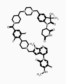 CNc1cc(=O)n(-c2ccnc3c2cc(CN2CCC(c4c(F)cc(C(=O)N5CCC(CN6CCN(Cc7ccc8c(c7)C(C)(C)C(=O)N8[C@@H]7CCC(=O)NC7=O)CC6)CC5)cc4F)CC2)n3C)cc1F